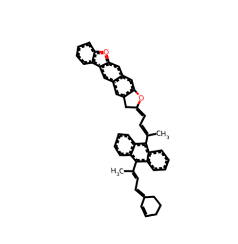 C/C(=C\C=C1\C=CCCC1)c1c2ccccc2c(/C(C)=C/C=C2\Cc3cc4cc5c(cc4cc3O2)oc2ccccc25)c2ccccc12